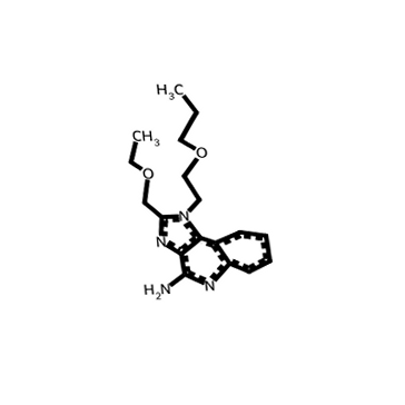 CCCOCCn1c(COCC)nc2c(N)nc3ccccc3c21